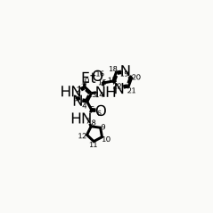 CCc1[nH]nc(C(=O)NC2CCCC2)c1NC(=O)c1cnccn1